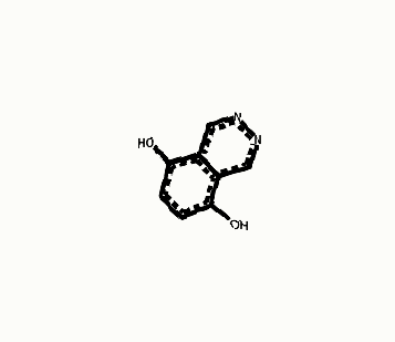 Oc1ccc(O)c2cnncc12